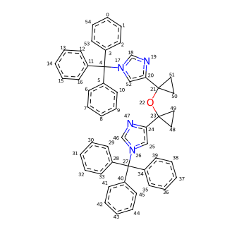 c1ccc(C(c2ccccc2)(c2ccccc2)n2cnc(C3(OC4(c5cn(C(c6ccccc6)(c6ccccc6)c6ccccc6)cn5)CC4)CC3)c2)cc1